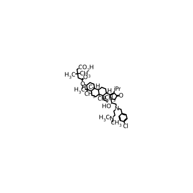 CC(C)C1=C2[C@H]3CC[C@@H]4[C@@]5(C)CC[C@H](OC(=O)CC(C)(C)CC(=O)O)C(C)(C)C5CC[C@@]4(C)[C@]3(C)CC[C@@]2([C@@H](O)CN(CCN(C)C)Cc2ccc(Cl)cc2)CC1=O